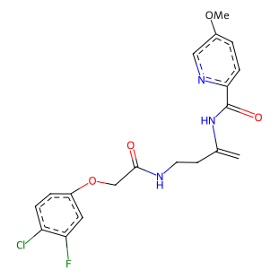 C=C(CCNC(=O)COc1ccc(Cl)c(F)c1)NC(=O)c1ccc(OC)cn1